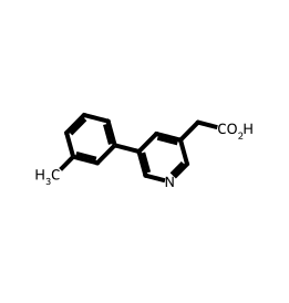 Cc1cccc(-c2cncc(CC(=O)O)c2)c1